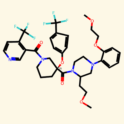 COCCOc1ccccc1N1CCN(C(=O)[C@]2(Oc3ccc(C(F)(F)F)cc3)CCCN(C(=O)c3cnccc3C(F)(F)F)C2)C(CCOC)C1